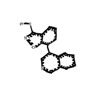 CC(C)Oc1noc2c(-c3cncc4ccccc34)cccc12